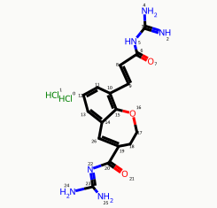 Cl.Cl.N=C(N)NC(=O)C=Cc1cccc2c1OCCC(C(=O)N=C(N)N)=C2